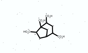 O=C(O)C1CC(C(=O)O)C2(C(=O)O)CC1CC2C(=O)O